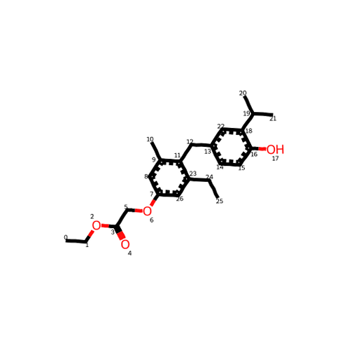 CCOC(=O)COc1cc(C)c(Cc2ccc(O)c(C(C)C)c2)c(CC)c1